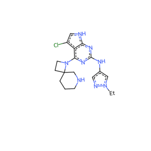 CCn1cc(Nc2nc(N3CCC34CCCNC4)c3c(Cl)c[nH]c3n2)cn1